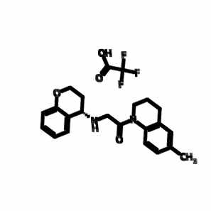 Cc1ccc2c(c1)CCCN2C(=O)CN[C@H]1CCOc2ccccc21.O=C(O)C(F)(F)F